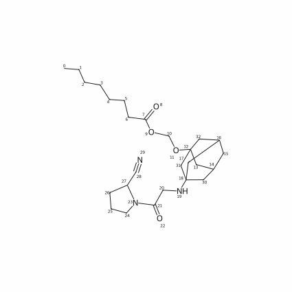 CCCCCCCC(=O)OCOC12CC3CC(CC(NCC(=O)N4CCCC4C#N)(C3)C1)C2